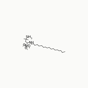 CCCCCCCCCCCCCCCCCCNC(CC(C)(C)[SiH3])[N+](OC)(OC)OC